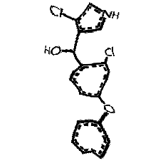 OC(c1ccc(Oc2ccccc2)cc1Cl)c1c[nH]cc1Cl